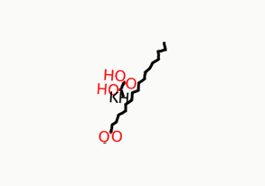 CC(O)C(=O)O.CCCCCCCCCCCCCCCCCC(=O)OC.[KH]